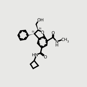 CNC(=O)c1cc(C(=O)NC2CCC2)cc2c1O[C@H](CO)[C@H]2c1ccccc1